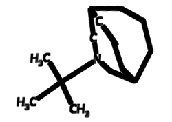 CC(C)(C)N1CC2CCCCC(CCC2)C1